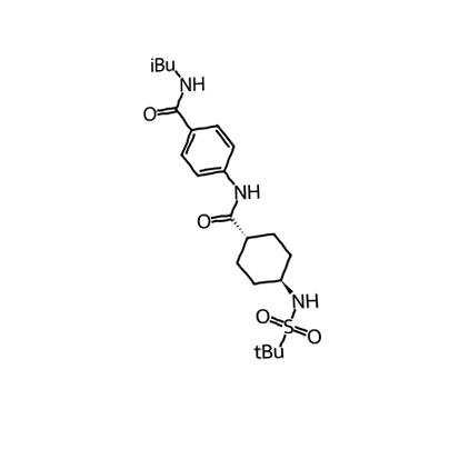 CCC(C)NC(=O)c1ccc(NC(=O)[C@H]2CC[C@H](NS(=O)(=O)C(C)(C)C)CC2)cc1